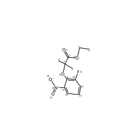 CCOC(=O)C(C)(C)Oc1c(F)cccc1[N+](=O)[O-]